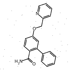 NC(=O)c1ccc(OCc2ccccn2)cc1-c1ccccc1